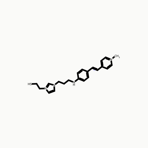 C[n+]1ccc(/C=C/c2ccc(NCCCn3cc[n+](CCS)c3)cc2)cc1